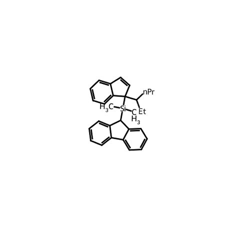 CCCC(CC)C1([Si](C)(C)C2c3ccccc3-c3ccccc32)C=Cc2ccccc21